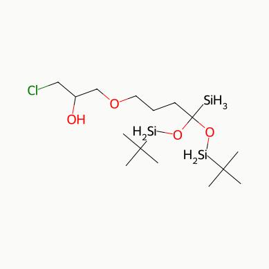 CC(C)(C)[SiH2]OC([SiH3])(CCCOCC(O)CCl)O[SiH2]C(C)(C)C